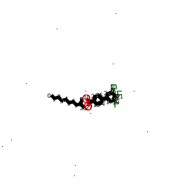 CCCCCCCCC1COC(c2ccc(-c3cc(F)c(F)c(F)c3)cc2)OC1